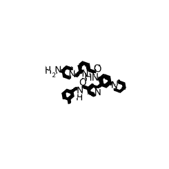 Cc1cccc(CNC(=O)c2ccnc(-c3cc(N4CCCCC4)ccc3NC(=O)c3cccc(CN4CCC(N)CC4)n3)c2)c1